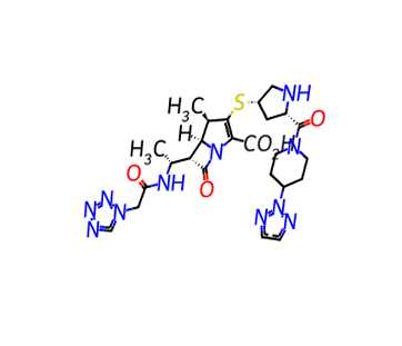 C[C@@H](NC(=O)Cn1cnnn1)[C@H]1C(=O)N2C(C(=O)O)=C(S[C@@H]3CN[C@H](C(=O)N4CCC(n5nccn5)CC4)C3)[C@H](C)[C@H]12